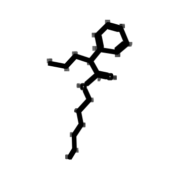 CCCCCCOC(=O)C(CCC)c1ccccc1